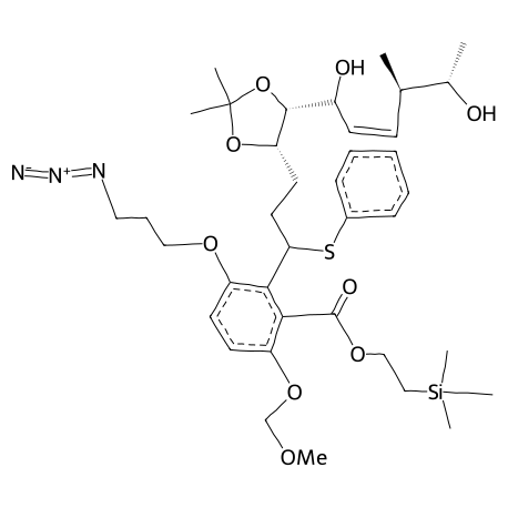 COCOc1ccc(OCCCN=[N+]=[N-])c(C(CC[C@@H]2OC(C)(C)O[C@@H]2C(O)/C=C\[C@@H](C)[C@H](C)O)Sc2ccccc2)c1C(=O)OCC[Si](C)(C)C